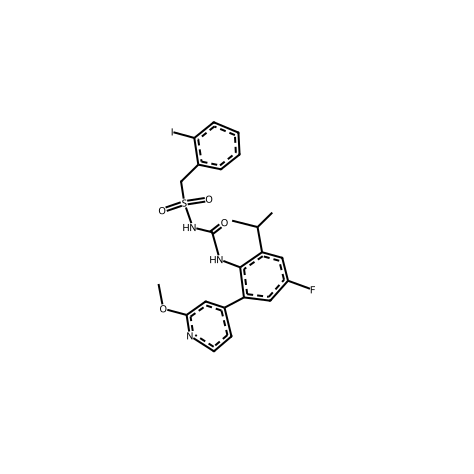 COc1cc(-c2cc(F)cc(C(C)C)c2NC(=O)NS(=O)(=O)Cc2ccccc2I)ccn1